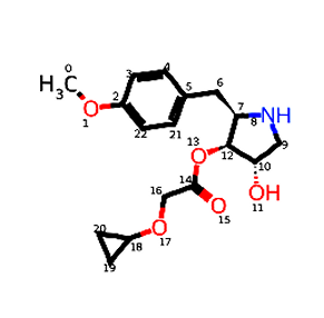 COc1ccc(C[C@H]2NC[C@H](O)[C@H]2OC(=O)COC2CC2)cc1